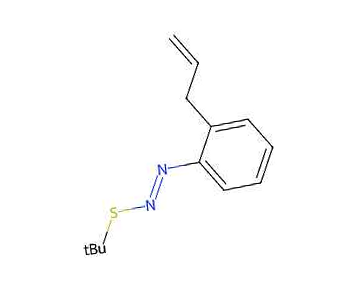 C=CCc1ccccc1N=NSC(C)(C)C